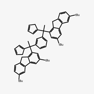 CC(C)(C)c1ccc2c(c1)-c1cc(C(C)(C)C)cc(C(C)(C3=CC=CC3)c3cccc(C(C)(C4=CC=CC4)c4cc(C(C)(C)C)cc5c4Cc4ccc(C(C)(C)C)cc4-5)c3)c1C2